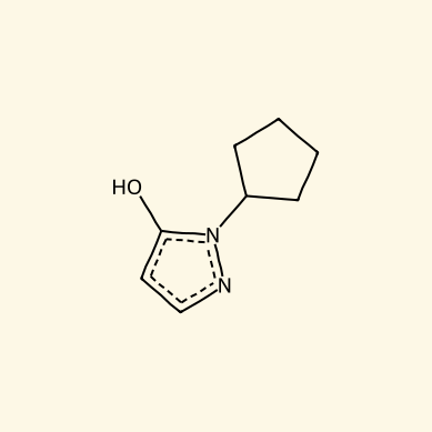 Oc1ccnn1C1CCCC1